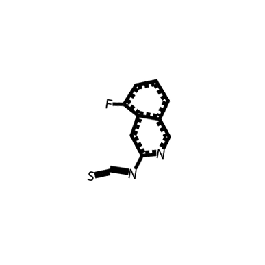 Fc1cccc2cnc(N=C=S)cc12